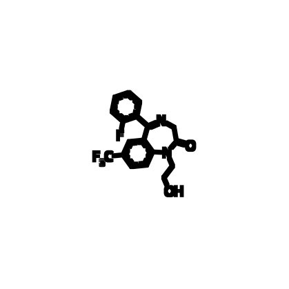 O=C1CN=C(c2ccccc2F)c2cc(C(F)(F)F)ccc2N1CCO